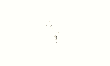 Cc1ccc(S(=O)(=O)n2cc(C(C)C)c3c(Oc4c(F)cc(NC(=O)NCC5(C)COC5)cc4F)ccnc32)cc1